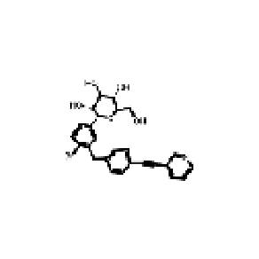 OC[C@H]1O[C@@H](c2ccc(Br)c(Cc3ccc(C#Cc4cccnc4)cc3)c2)[C@H](O)[C@@H](O)[C@@H]1O